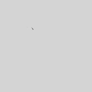 c1ccc(COc2ccc([C@H]3CO3)cc2)cc1